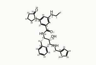 CCNc1cc(C(=O)N[C@@H](Cc2ccccc2)[C@H](O)CNCc2cccs2)cc(N2CCCC2=O)c1